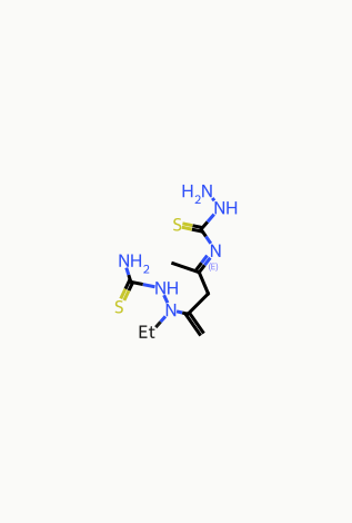 C=C(C/C(C)=N/C(=S)NN)N(CC)NC(N)=S